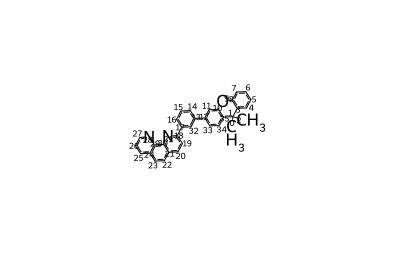 CC1(C)c2ccccc2Oc2cc(-c3cccc(-c4ccc5ccc6cccnc6c5n4)c3)ccc21